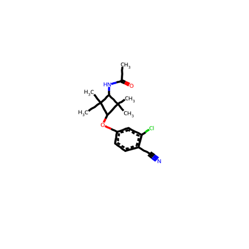 CC(=O)NC1C(C)(C)C(Oc2ccc(C#N)c(Cl)c2)C1(C)C